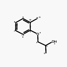 CC(O)COc1ncccc1F